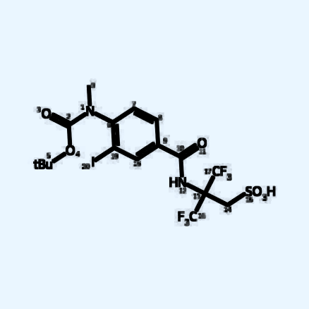 CN(C(=O)OC(C)(C)C)c1ccc(C(=O)NC(CS(=O)(=O)O)(C(F)(F)F)C(F)(F)F)cc1I